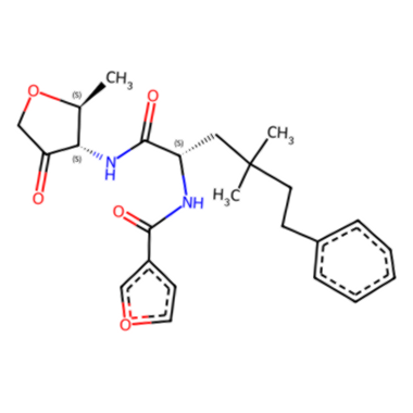 C[C@@H]1OCC(=O)[C@H]1NC(=O)[C@H](CC(C)(C)CCc1ccccc1)NC(=O)c1ccoc1